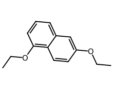 CCOc1ccc2c(OCC)cccc2c1